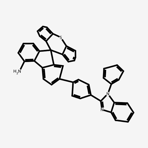 Nc1cccc2c1-c1ccc(-c3ccc(-c4nc5ccccc5n4-c4ccccc4)cc3)cc1C21c2ccccc2Sc2ccccc21